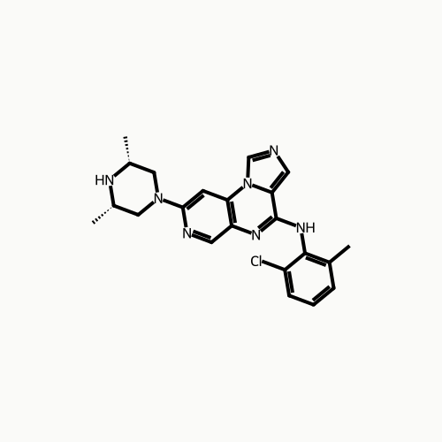 Cc1cccc(Cl)c1Nc1nc2cnc(N3C[C@@H](C)N[C@@H](C)C3)cc2n2cncc12